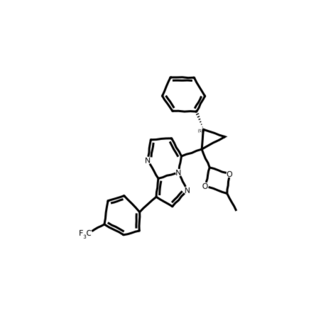 CC1OC(C2(c3ccnc4c(-c5ccc(C(F)(F)F)cc5)cnn34)C[C@H]2c2ccccc2)O1